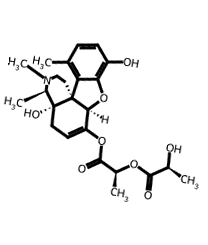 Cc1ccc(O)c2c1[C@]13CCN(C)[C@H](C)[C@]1(O)CC=C(OC(=O)[C@H](C)OC(=O)[C@H](C)O)[C@@H]3O2